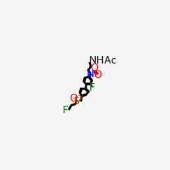 CC(=O)NCC1CN(c2ccc(-c3ccc(C[S+]([O-])CCCF)cc3)c(F)c2)C(=O)O1